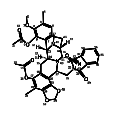 COc1c(C)cc2c(c1OC(C)=O)[C@H]1[C@@H]3Cc4c(OC(C)=O)c(C)c5c(c4[C@H](CN4C(=O)c6ccccc6C4=O)N3[C@@H](C#N)[C@@H](C2)N1C)OCO5